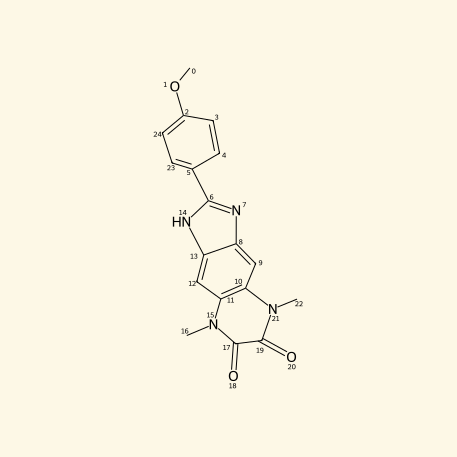 COc1ccc(-c2nc3cc4c(cc3[nH]2)n(C)c(=O)c(=O)n4C)cc1